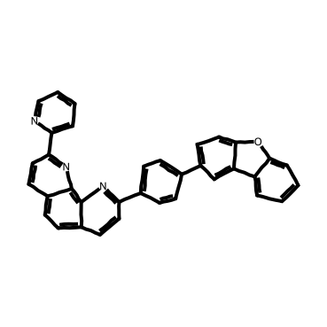 c1ccc(-c2ccc3ccc4ccc(-c5ccc(-c6ccc7oc8ccccc8c7c6)cc5)nc4c3n2)nc1